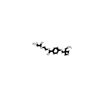 C=CC(=O)OCCOC(=O)C1=CC=C(OCC2(CC)COC2)CC1